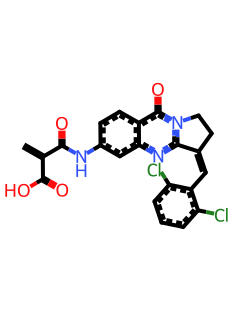 C=C(C(=O)O)C(=O)Nc1ccc2c(=O)n3c(nc2c1)/C(=C\c1c(Cl)cccc1Cl)CC3